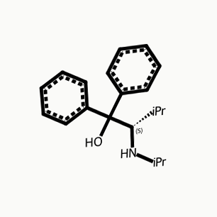 CC(C)N[C@@H](C(C)C)C(O)(c1ccccc1)c1ccccc1